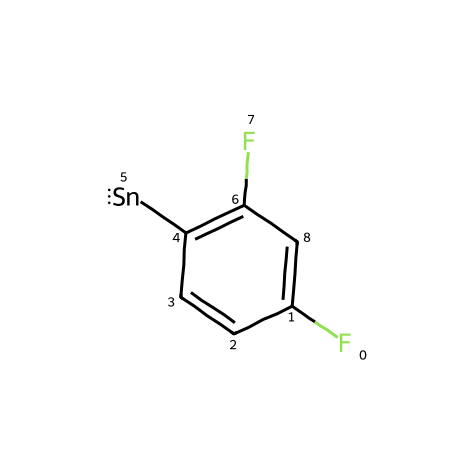 Fc1cc[c]([Sn])c(F)c1